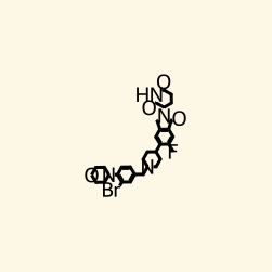 O=C1CCC(N2Cc3cc(C4CCN(Cc5ccc(N6CCOCC6)c(Br)c5)CC4)c(F)cc3C2=O)C(=O)N1